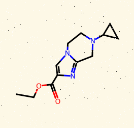 CCOC(=O)c1cn2c(n1)CN(C1CC1)CC2